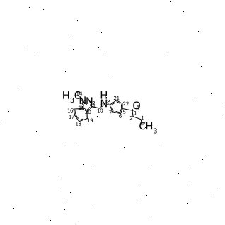 CCCC(=O)c1ccc(NCc2nn(C)c3ccccc23)cc1